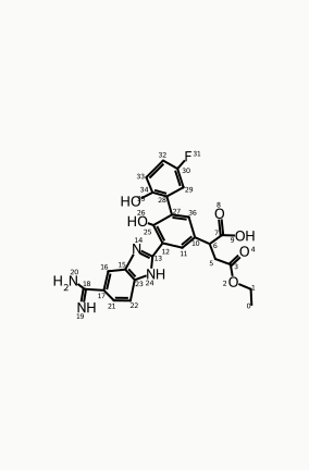 CCOC(=O)CC(C(=O)O)c1cc(-c2nc3cc(C(=N)N)ccc3[nH]2)c(O)c(-c2cc(F)ccc2O)c1